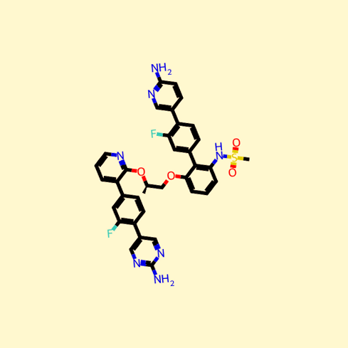 C[C@H](COc1cccc(NS(C)(=O)=O)c1-c1ccc(-c2ccc(N)nc2)c(F)c1)Oc1ncccc1-c1ccc(-c2cnc(N)nc2)c(F)c1